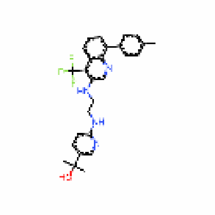 Cc1ccc(-c2cccc3c(C(F)(F)F)c(NCCNc4ccc(C(C)(C)O)cn4)cnc23)cc1